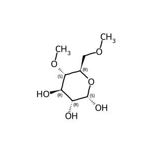 COC[C@H]1O[C@H](O)[C@H](O)[C@@H](O)[C@@H]1OC